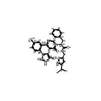 CC(C)c1cc(CNC(=O)[C@H](Cc2ccccc2)n2cnc(-c3cc(Cl)ccc3N3C=C(Cl)NN3)cc2=O)on1